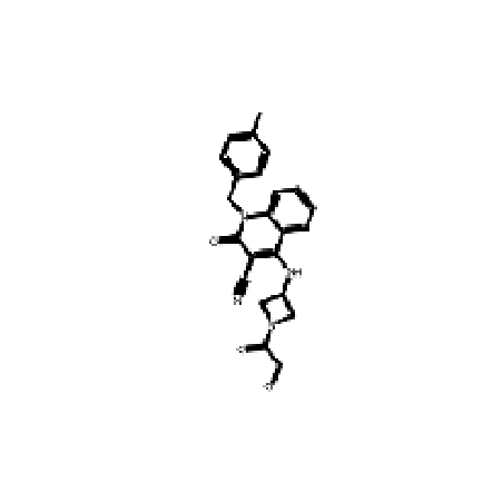 Cc1ccc(Cn2c(=O)c(C#N)c(NC3CN(C(=O)CCl)C3)c3ccccc32)cc1